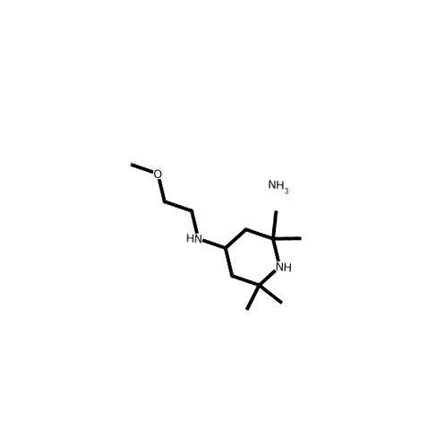 COCCNC1CC(C)(C)NC(C)(C)C1.N